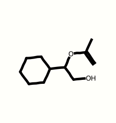 C=C(C)OC(CO)C1CCCCC1